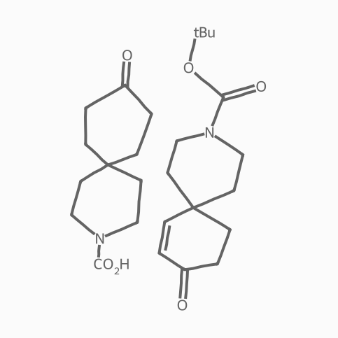 CC(C)(C)OC(=O)N1CCC2(C=CC(=O)CC2)CC1.O=C1CCC2(CC1)CCN(C(=O)O)CC2